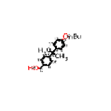 CCCCOc1ccc(C(C)(C)c2ccc(CO)cc2)cc1